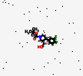 CC(C)(C)OC(=O)N1CCC(c2ccc(F)c(F)c2)[C@H](CO)C1